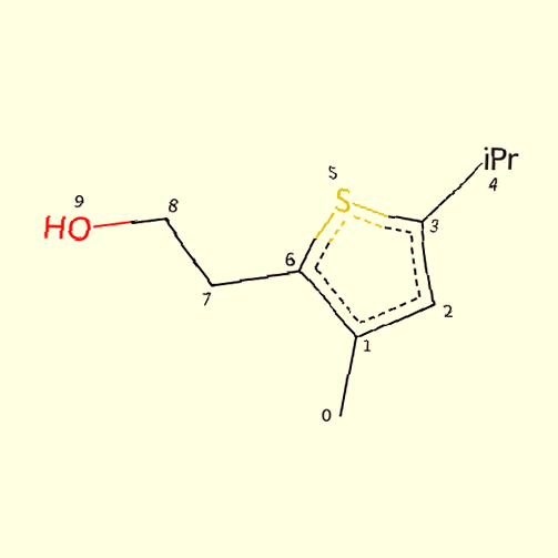 Cc1cc(C(C)C)sc1CCO